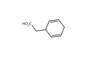 O=C(O)CC1C=CCC=C1